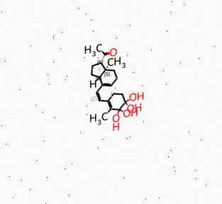 CC(=O)[C@H]1CC[C@H]2C(/C=C\C3=C(C)C(O)(O)C(O)(O)CC3)=CCC[C@]12C